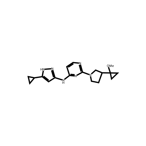 COC1(C2CCN(c3nccc(Nc4cc(C5CC5)[nH]n4)n3)C2)CC1